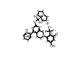 [2H]C([2H])(Oc1nc2c(c(N3CC4CCC3CN4)n1)CCN(c1cc(O)cc(Cl)c1C(F)(F)F)C2)[C@@]12CCCN1C[C@H](F)C2